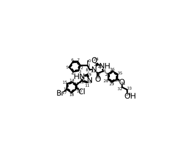 C[C@H](c1ccccc1)[C@@H](c1ncc(-c2ccc(Br)cc2Cl)[nH]1)N1C(=O)N[C@H](c2ccc(OCCO)cc2)C1=O